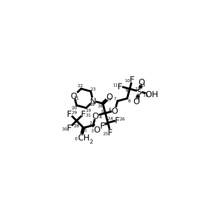 C=C(C(=O)OC(OCCC(F)(F)S(=O)(=O)O)(C(=O)N1CCOCC1)C(F)(F)F)C(F)(F)F